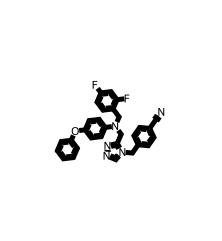 N#Cc1ccc(Cn2cnnc2CN(Cc2ccc(F)cc2F)c2ccc(Oc3ccccc3)cc2)cc1